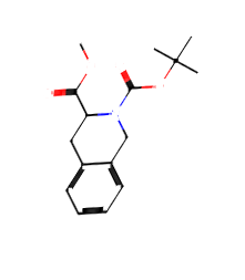 COC(=O)C1Cc2ccccc2CN1C(=O)OC(C)(C)C